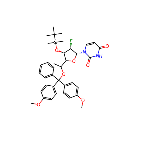 COc1ccc(C(OC(C)C2O[C@@H](n3ccc(=O)[nH]c3=O)[C@H](F)[C@@H]2O[Si](C)(C)C(C)(C)C)(c2ccccc2)c2ccc(OC)cc2)cc1